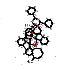 C=C1/C=C\C=C/Cc2c1ccc1c2C2(c3ccccc3C3(C4=C(C=CC(C)C4)c4ccccc43)c3ccccc32)c2c(-c3ccc(-c4cc(-c5ccccc5)nc(-c5ccccc5)n4)cc3)cccc2-1